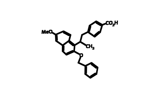 COc1ccc2c(C(C)Cc3ccc(C(=O)O)cc3)c(OCc3ccccc3)ccc2c1